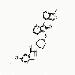 Cc1ncc(Cl)cc1C(=O)N[C@H]1CC[C@H](Cn2c(=O)n(-c3cccc4c3cnn4C)c3ccccc32)CC1